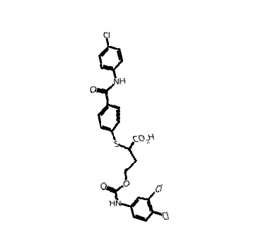 O=C(Nc1ccc(Cl)c(Cl)c1)OCCC(Sc1ccc(C(=O)Nc2ccc(Cl)cc2)cc1)C(=O)O